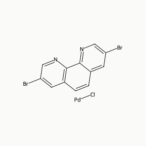 Brc1cnc2c(ccc3cc(Br)cnc32)c1.[Cl][Pd]